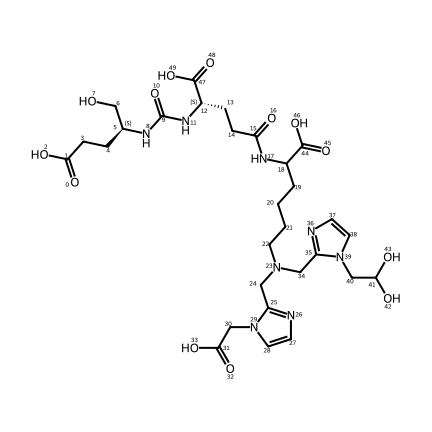 O=C(O)CC[C@@H](CO)NC(=O)N[C@@H](CCC(=O)NC(CCCCN(Cc1nccn1CC(=O)O)Cc1nccn1CC(O)O)C(=O)O)C(=O)O